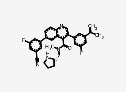 C=C(C)c1cc(F)cc(-c2cnc3ccc(-c4cc(F)cc(C#N)c4)cc3c2C(=O)N(C)C[C@@H]2CCCN2)c1